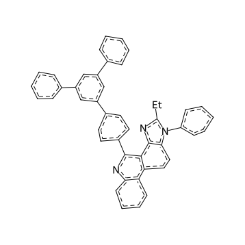 CCc1nc2c3c(-c4ccc(-c5cc(-c6ccccc6)cc(-c6ccccc6)c5)cc4)nc4ccccc4c3ccc2n1-c1ccccc1